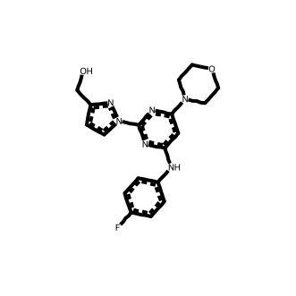 OCc1ccn(-c2nc(Nc3ccc(F)cc3)cc(N3CCOCC3)n2)n1